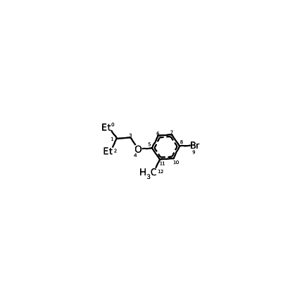 CCC(CC)COc1ccc(Br)cc1C